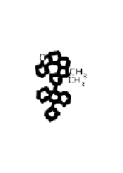 CC1(C)c2cc(-c3c4ccccc4c(-c4ccccc4)c4ccccc34)ccc2-c2c1ccc1ccc3oc4ccccc4c3c21